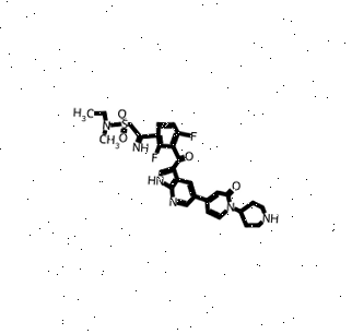 CCN(C)S(=O)(=O)CC(=N)c1ccc(F)c(C(=O)c2c[nH]c3ncc(-c4ccn(C5CCNCC5)c(=O)c4)cc23)c1F